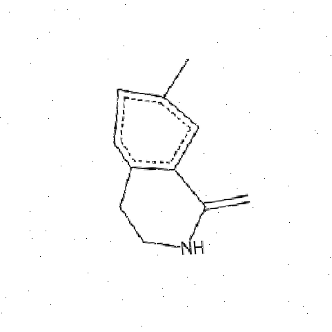 C=C1NCCc2ccc(C)cc21